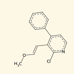 CO/C=C/c1c(-c2ccccc2)ccnc1Cl